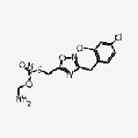 NCO[PH](=O)SCc1nc(Cc2ccc(Cl)cc2Cl)no1